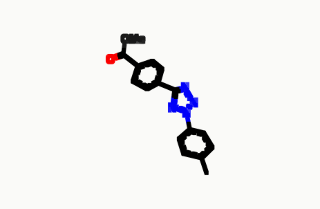 COC(=O)c1ccc(-c2nnn(-c3ccc(C)cc3)n2)cc1